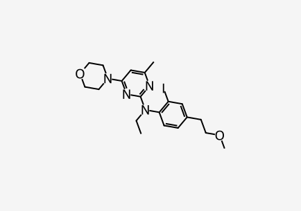 CCN(c1nc(C)cc(N2CCOCC2)n1)c1ccc(CCOC)cc1I